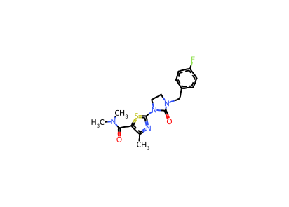 Cc1nc(N2CCN(Cc3ccc(F)cc3)C2=O)sc1C(=O)N(C)C